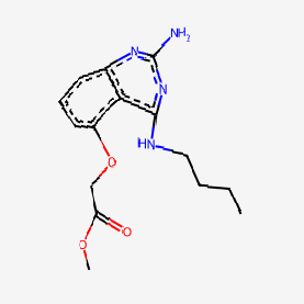 CCCCNc1nc(N)nc2cccc(OCC(=O)OC)c12